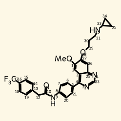 COc1cc2c(-c3ccc(NC(=O)Cc4ccc(C(F)(F)F)cc4)cc3)ncnc2cc1OCCCNC1CC1